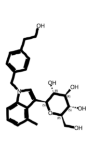 Cc1cccc2c1c([C@@H]1O[C@H](CO)[C@@H](O)[C@H](O)[C@H]1O)cn2Cc1ccc(CCO)cc1